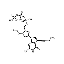 NCC#Cc1cn([C@H]2CC(OCS)[C@@H](COP(=O)(O)OP(=O)(O)OP(=O)(O)O)O2)c2cc(N)[nH]c(=O)c12